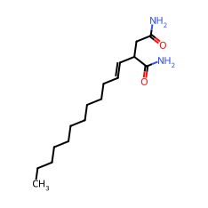 CCCCCCCCCCC=CC(CC(N)=O)C(N)=O